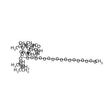 COCCOCCOCCOCCOCCOCCOCCOCCOCCOCCOCCOCCOCCOCCOCCOCCOCCCc1cc(NC[C@H](C)NC[C@@H](N)C(C)C)ccc1COC(=O)N(CCOC12CC3(C)CC(C)(CC(Cn4ncc(-c5ccc(N6CCc7cccc(C(=O)Nc8nc9ccccc9s8)c7C6)nc5C(=O)O)c4C)(C3)C1)C2)CCS(=O)(=O)O